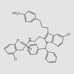 O=C(O)c1ccc(CCCc2c(CCNS(=O)(=O)Cc3c(Cl)cccc3Cl)n(C(c3ccccc3)c3ccccc3)c3ccc(Cl)cc23)cc1